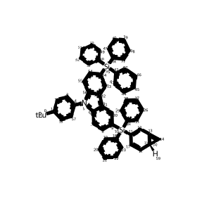 CC(C)(C)c1ccc(-n2c3ccc([Si](C4=CC5=C[C@@H]5C=C4)(c4ccccc4)c4ccccc4)cc3c3cc([Si](c4ccccc4)(c4ccccc4)c4ccccc4)ccc32)cc1